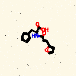 O=C(/C=C/c1ccco1)N[C@@H](Cc1ccccc1)C(=O)O